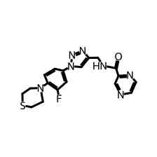 O=C(NCc1cn(-c2ccc(N3CCSCC3)c(F)c2)nn1)c1cnccn1